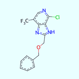 FC(F)(F)c1cnc(Cl)c2[nH]c(COCc3ccccc3)nc12